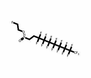 O=[PH](CCC(F)(F)C(F)(F)C(F)(F)C(F)(F)C(F)(F)C(F)(F)C(F)(F)C(F)(F)F)OCCF